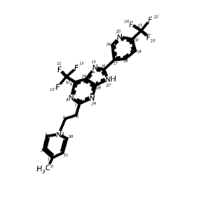 CC1=C=CN(CCc2nc(C(F)(F)F)c3nc(-c4ccc(C(F)(F)F)nc4)[nH]c3n2)C=C1